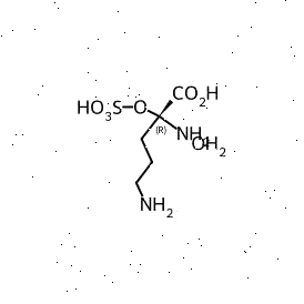 NCCC[C@@](N)(OS(=O)(=O)O)C(=O)O.O